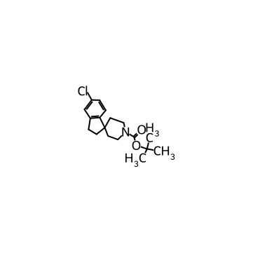 CC(C)(C)OC(=O)N1CCC2(CCc3cc(Cl)ccc32)CC1